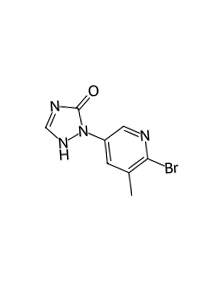 Cc1cc(-n2[nH]cnc2=O)cnc1Br